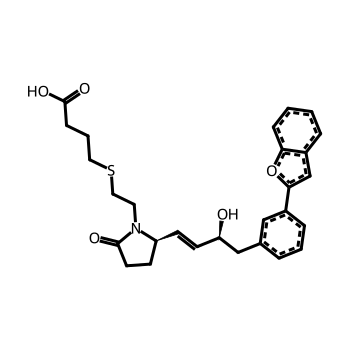 O=C(O)CCCSCCN1C(=O)CC[C@@H]1/C=C/[C@@H](O)Cc1cccc(-c2cc3ccccc3o2)c1